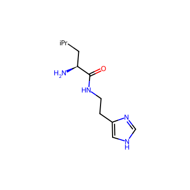 CC(C)C[C@H](N)C(=O)NCCc1c[nH]cn1